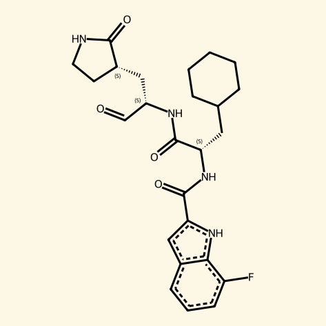 O=C[C@H](C[C@@H]1CCNC1=O)NC(=O)[C@H](CC1CCCCC1)NC(=O)c1cc2cccc(F)c2[nH]1